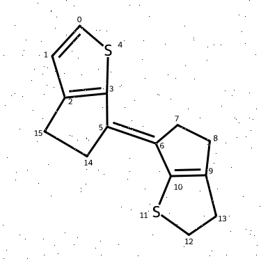 c1cc2c(s1)/C(=C1\CCC3=C1SCC3)CC2